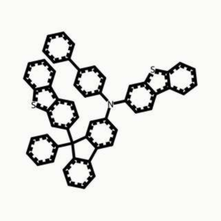 c1ccc(-c2ccc(N(c3ccc4c(c3)C(c3ccccc3)(c3ccc5c(c3)sc3ccccc35)c3ccccc3-4)c3ccc4c(c3)sc3ccccc34)cc2)cc1